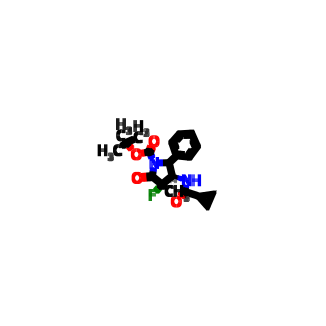 CC(C)(C)OC(=O)N1C(=O)C(C)(F)[C@H](NC(=O)C2CC2)C1c1ccccc1